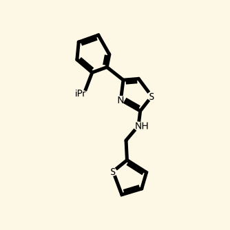 CC(C)c1ccccc1-c1csc(NCc2cccs2)n1